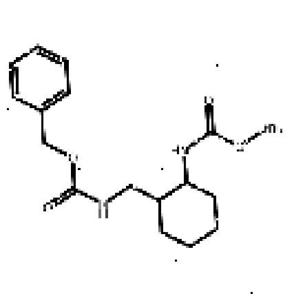 CC(C)(C)OC(=O)NC1CCCCC1CNC(=O)OCc1ccccc1